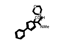 CNC(CN1CCOCC1)C1(C(=O)O)C=CC(c2ccccc2)=CC1